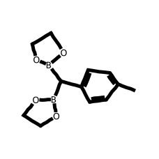 Cc1ccc(C(B2OCCO2)B2OCCO2)cc1